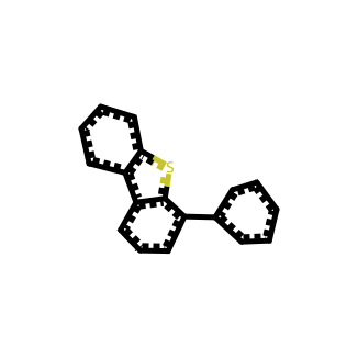 [c]1cc(-c2ccccc2)c2sc3ccccc3c2c1